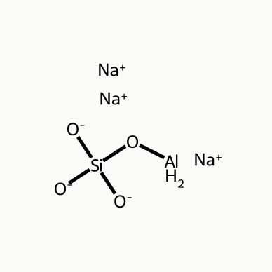 [Na+].[Na+].[Na+].[O-][Si]([O-])([O-])[O][AlH2]